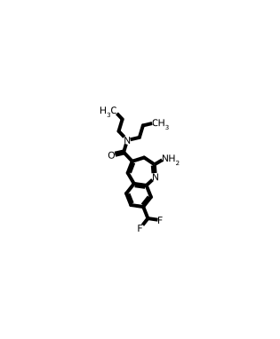 CCCN(CCC)C(=O)C1=Cc2ccc(C(F)F)cc2N=C(N)C1